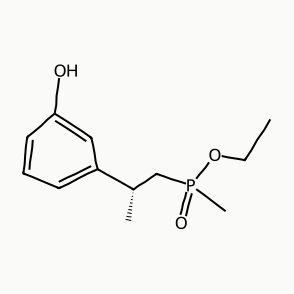 CCOP(C)(=O)C[C@H](C)c1cccc(O)c1